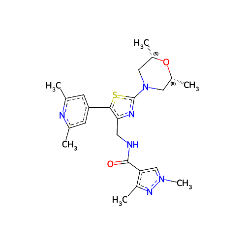 Cc1cc(-c2sc(N3C[C@@H](C)O[C@@H](C)C3)nc2CNC(=O)c2cn(C)nc2C)cc(C)n1